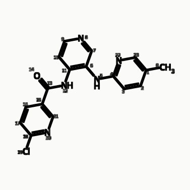 Cc1ccc(Nc2cnccc2NC(=O)c2ccc(Cl)nc2)nc1